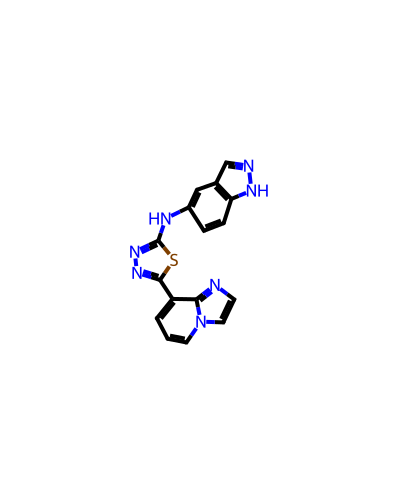 c1cc(-c2nnc(Nc3ccc4[nH]ncc4c3)s2)c2nccn2c1